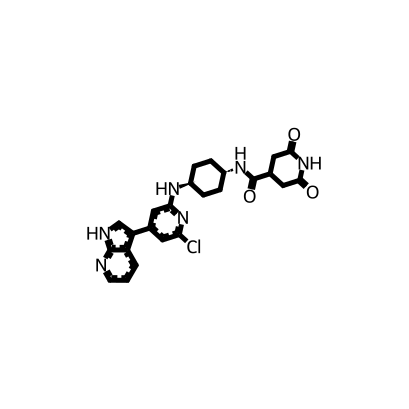 O=C1CC(C(=O)N[C@H]2CC[C@H](Nc3cc(-c4c[nH]c5ncccc45)cc(Cl)n3)CC2)CC(=O)N1